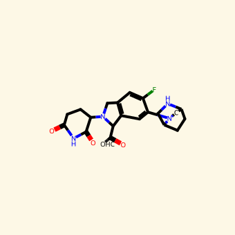 O=CC(=O)C1c2cc(N3CC4CCC3CN4)c(F)cc2CN1C1CCC(=O)NC1=O